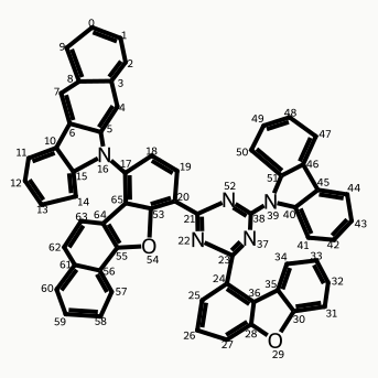 c1ccc2cc3c(cc2c1)c1ccccc1n3-c1ccc(-c2nc(-c3cccc4oc5ccccc5c34)nc(-n3c4ccccc4c4ccccc43)n2)c2oc3c4ccccc4ccc3c12